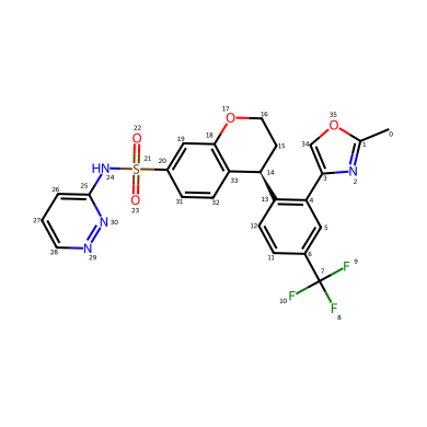 Cc1nc(-c2cc(C(F)(F)F)ccc2[C@@H]2CCOc3cc(S(=O)(=O)Nc4cccnn4)ccc32)co1